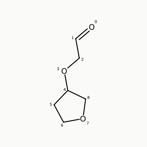 O=CCOC1CCOC1